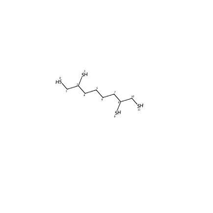 SCC(S)CCCCC(S)CS